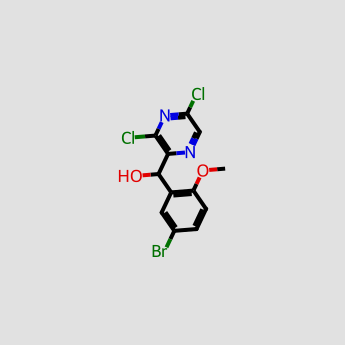 COc1ccc(Br)cc1C(O)c1ncc(Cl)nc1Cl